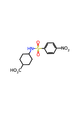 O=C(O)C1CCC(NS(=O)(=O)c2ccc([N+](=O)[O-])cc2)CC1